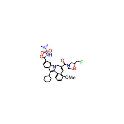 COc1cccc2c1C=C(C(=O)N1CCOC(CF)C1)Cn1c-2c(C2CCCCC2)c2ccc(C(=O)NS(=O)(=O)N(C)C)cc21